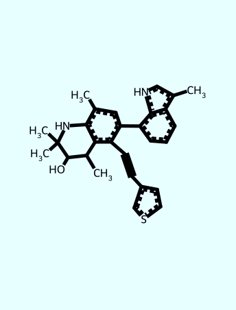 Cc1cc(-c2cccc3c(C)c[nH]c23)c(C#Cc2ccsc2)c2c1NC(C)(C)C(O)C2C